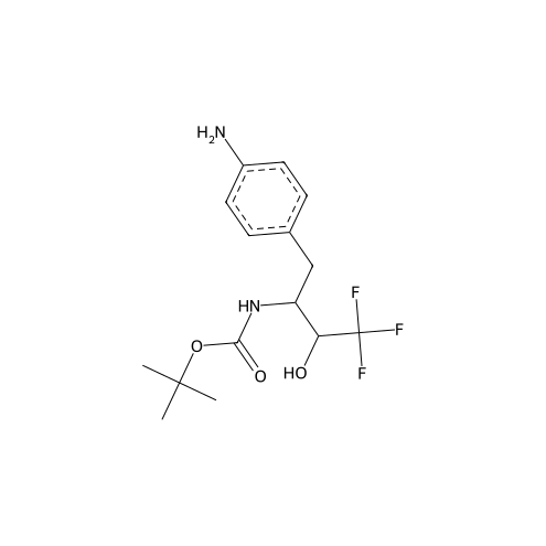 CC(C)(C)OC(=O)NC(Cc1ccc(N)cc1)C(O)C(F)(F)F